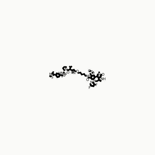 Cc1ncsc1-c1ccc([C@]2(C)NC([C@@H]3CCCN3C(=O)C(c3cc(OCCCCCNC(=O)c4cc5c(cc4CS(C)(=O)=O)-c4cn(C)c(=O)c6[nH]cc(c46)CN5c4ncc(F)cc4F)no3)C(C)C)=NO2)cc1